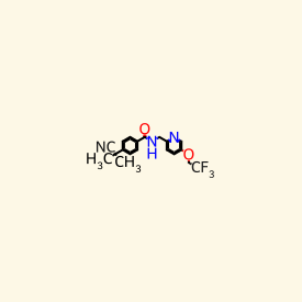 CC(C)(C#N)c1ccc(C(=O)NCc2ccc(OCC(F)(F)F)cn2)cc1